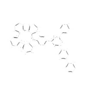 c1ccc(-c2ccc(-c3nc(-c4ccccc4)nc(-c4ccc5c(c4)c4cccc6c7ccccc7c7cccc8sc9cccc(c9c87)n5c64)n3)cc2)cc1